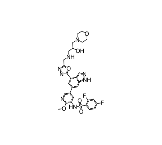 COc1ncc(-c2cc(-c3nnc(CNCC(O)CN4CCOCC4)o3)c3cn[nH]c3c2)cc1NS(=O)(=O)c1ccc(F)cc1F